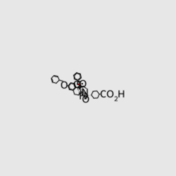 O=C(O)[C@H]1CC[C@H](C(=O)N2CC[C@@]3(S(=O)(=O)c4ccccc4)c4ccc(OCC5C=CC=CC5)cc4CC[C@@H]23)CC1